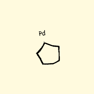 [CH]1CCCC1.[Pd]